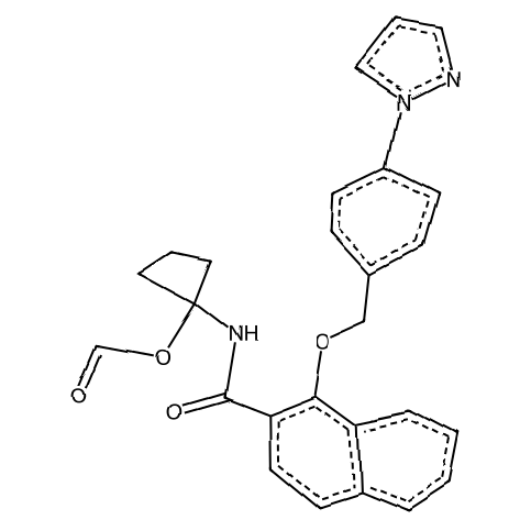 O=COC1(NC(=O)c2ccc3ccccc3c2OCc2ccc(-n3cccn3)cc2)CCC1